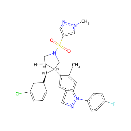 Cc1cc2c(cnn2-c2ccc(F)cc2)cc1[C@@]12CN(S(=O)(=O)c3cnn(C)c3)C[C@@H]1[C@@H]2C1C=CC=C(Cl)C1